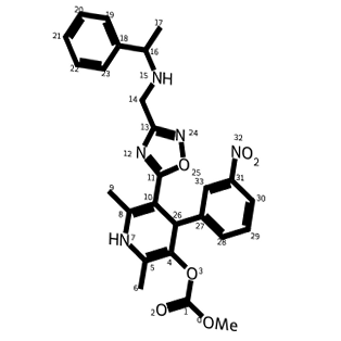 COC(=O)OC1=C(C)NC(C)=C(c2nc(CNC(C)c3ccccc3)no2)C1c1cccc([N+](=O)[O-])c1